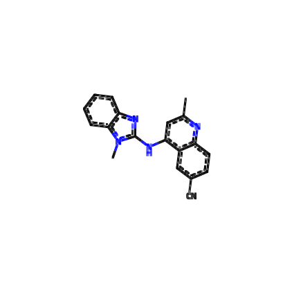 Cc1cc(Nc2nc3ccccc3n2C)c2cc(C#N)ccc2n1